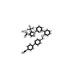 N#Cc1ccc(-c2ccc(COc3ccccc3-c3cccc(-n4ncc(C(=O)O)c4C(F)(F)F)n3)cc2)cc1